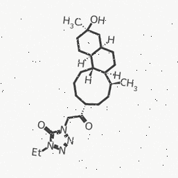 CCn1nnn(CC(=O)[C@@H]2CCC[C@H]3[C@@H](CC[C@@H]4C[C@](C)(O)CC[C@@H]43)[C@@H](C)CC2)c1=O